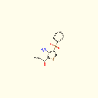 COC(=O)c1scc(S(=O)(=O)c2ccccc2)c1N